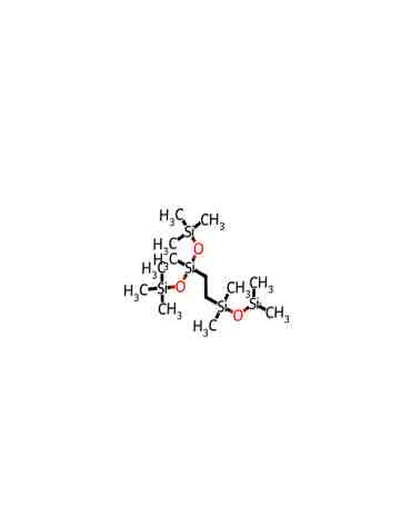 C[Si](C)O[Si](C)(C)CC[Si](C)(O[Si](C)(C)C)O[Si](C)(C)C